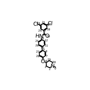 CN1CCC(Oc2ccc(-c3ccc(NC(=O)c4cc(Cl)cc(Cl)c4)cc3)cc2)CC1